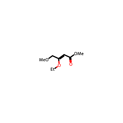 CCO/C(=C\C(=O)OC)COC